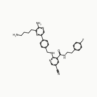 N#Cc1cnc(NCc2ccc(-c3cnc(N)c(CCCCN)n3)cc2)c(C(=O)NCCc2ccc(F)cc2)c1